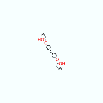 CC(C)CC(O)COc1ccc(C(C)(C)c2ccc(OCC(O)CC(C)C)cc2)cc1